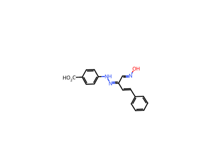 O=C(O)c1ccc(NN=C(C=Cc2ccccc2)C=NO)cc1